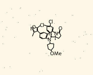 COC1CCC(n2c([C@@]3(C)CCC(=O)N3c3ccc(Cl)c(Cl)c3)nc3cc(-c4c(C)noc4C)ccc32)CC1